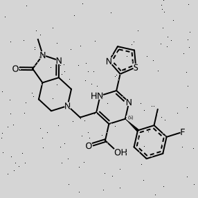 Cc1c(F)cccc1[C@@H]1N=C(c2nccs2)NC(CN2CCC3C(=O)N(C)N=C3C2)=C1C(=O)O